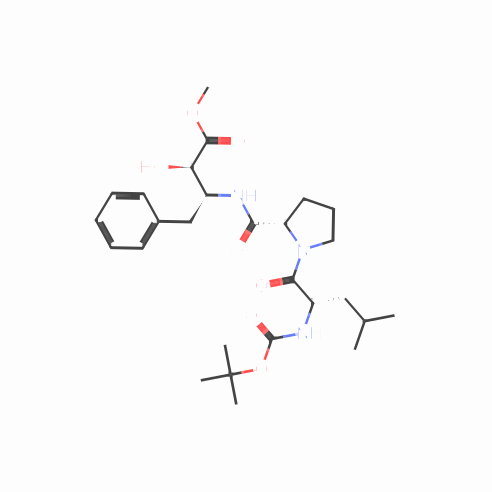 COC(=O)[C@H](O)[C@H](Cc1ccccc1)NC(=O)[C@@H]1CCCN1C(=O)[C@H](CC(C)C)NC(=O)OC(C)(C)C